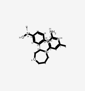 Cc1cc(N2CCCOC[C@@H]2c2cc([S@@+](C)[O-])ccc2Cl)nc(N)n1